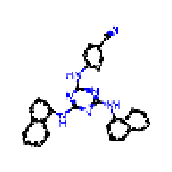 N#Cc1ccc(Nc2nc(Nc3cccc4ccccc34)nc(Nc3cccc4ccccc34)n2)cc1